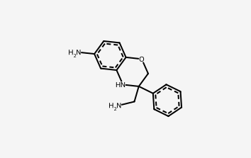 NCC1(c2ccccc2)COc2ccc(N)cc2N1